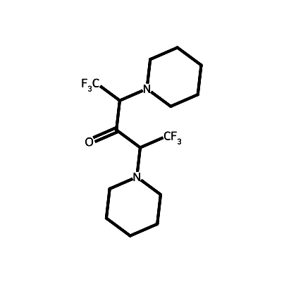 O=C(C(N1CCCCC1)C(F)(F)F)C(N1CCCCC1)C(F)(F)F